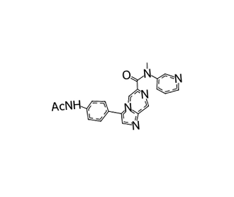 CC(=O)Nc1ccc(-c2cnc3cnc(C(=O)N(C)c4cccnc4)cn23)cc1